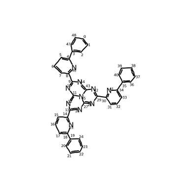 c1ccc(-c2cccc(C3=NC4=NC(c5cccc(-c6ccccc6)n5)=NC5=NC(c6cccc(-c7ccccc7)n6)=NC(=N3)N45)n2)cc1